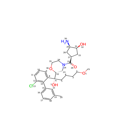 COCCCC[C@@](O)(c1cccc(Cl)c1-c1cccc(C)c1)[C@H]1CN(C(=O)[C@H]2C[C@@H](N)[C@@H](O)C2)CCO1